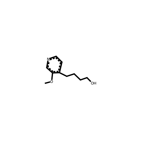 COc1cnccc1CCCCO